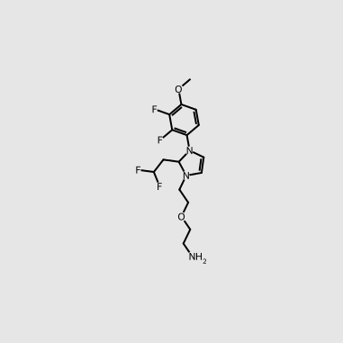 COc1ccc(N2C=CN(CCOCCN)C2CC(F)F)c(F)c1F